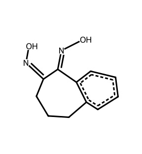 ON=C1CCCc2ccccc2C1=NO